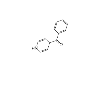 O=C(c1ccccc1)C1C=CNC=C1